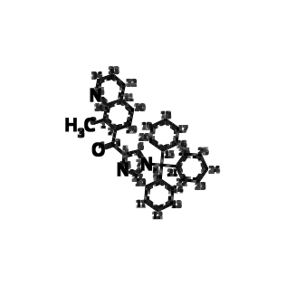 Cc1c(C(=O)c2cn(C(c3ccccc3)(c3ccccc3)c3ccccc3)cn2)ccc2cccnc12